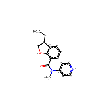 CCOC(=O)CC1COc2c(C(=O)N(OC)c3ccncc3)cccc21